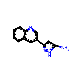 Nc1cc(-c2cnc3ccccc3c2)n[nH]1